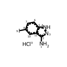 Cl.Nc1n[nH]c2ccc(I)cc12